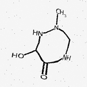 CN1CNC(=O)C(O)N1